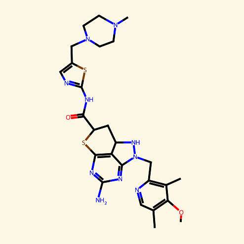 COc1c(C)cnc(CN2NC3CC(C(=O)Nc4ncc(CN5CCN(C)CC5)s4)Sc4nc(N)nc2c43)c1C